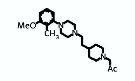 COc1cccc(N2CCN(CCC3CCN(CC(C)=O)CC3)CC2)c1C